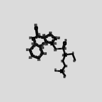 CCN(CCN(C)C)C(=O)Cn1ncc2c(=O)oc3ccccc3c21